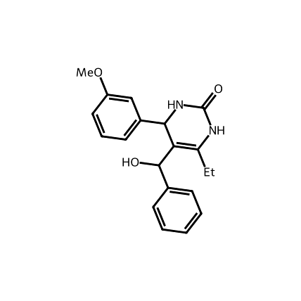 CCC1=C(C(O)c2ccccc2)C(c2cccc(OC)c2)NC(=O)N1